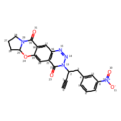 C#CC(Cc1cccc([N+](=O)[O-])c1)n1nnc2cc3c(cc2c1=O)OC1CCCN1C3=O